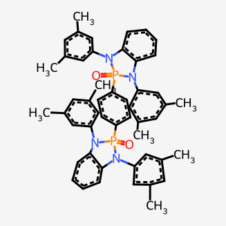 Cc1cc(C)cc(N2c3ccccc3N(c3cc(C)cc(C)c3)P2(=O)c2ccc(P3(=O)N(c4cc(C)cc(C)c4)c4ccccc4N3c3cc(C)cc(C)c3)cc2)c1